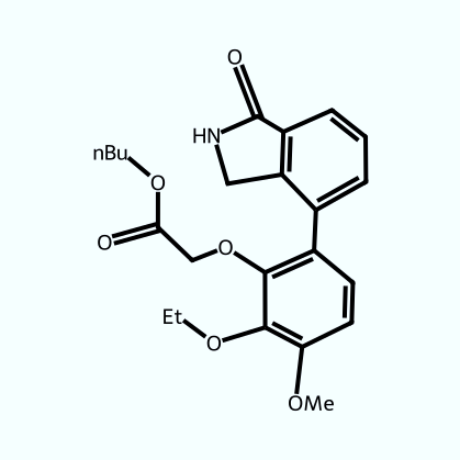 CCCCOC(=O)COc1c(-c2cccc3c2CNC3=O)ccc(OC)c1OCC